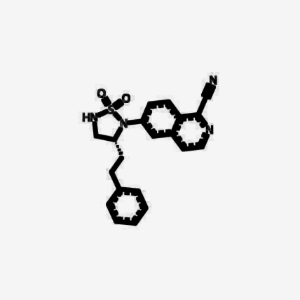 N#Cc1nccc2cc(N3[C@H](CCc4ccccc4)CNS3(=O)=O)ccc12